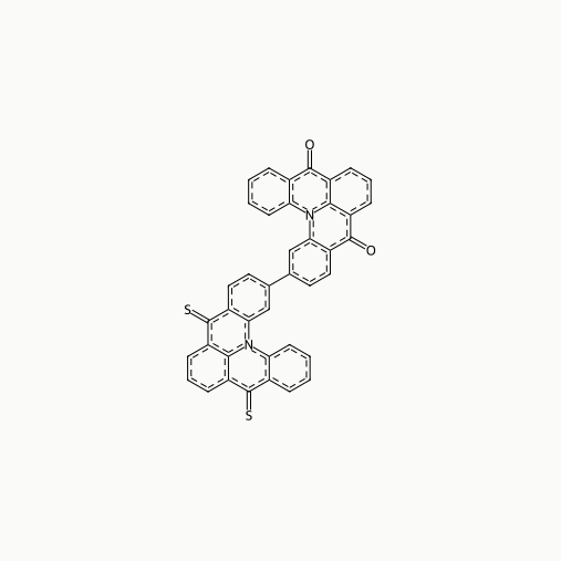 O=c1c2ccccc2n2c3cc(-c4ccc5c(=S)c6cccc7c(=S)c8ccccc8n(c5c4)c76)ccc3c(=O)c3cccc1c32